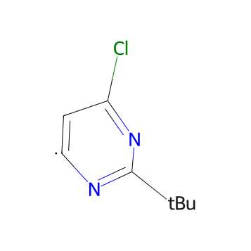 CC(C)(C)c1n[c]cc(Cl)n1